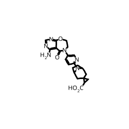 Nc1ncnc2c1C(=O)N(c1ccc(N3C4CCC3CC3(C4)CC3C(=O)O)nc1)CCO2